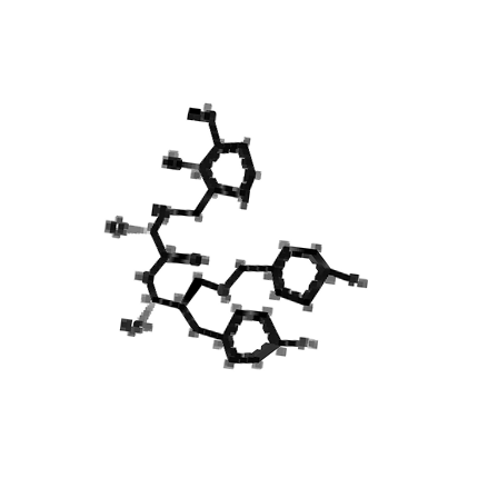 COc1ccnc(CN[C@@H](C)C(=O)O[C@@H](C)[C@@H](COCc2ccc(F)cc2)Cc2ccc(F)cc2)c1O